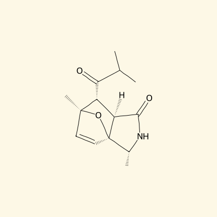 CC(C)C(=O)[C@@H]1[C@H]2C(=O)N[C@H](C)[C@]23C=C[C@]1(C)O3